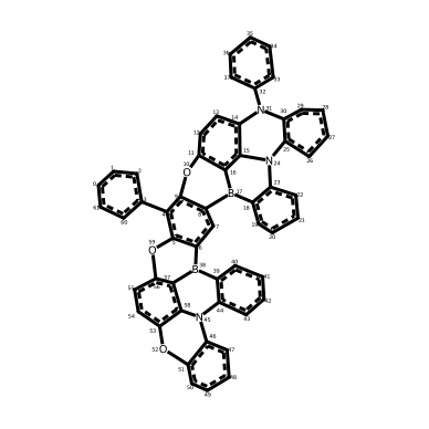 c1ccc(-c2c3c(cc4c2Oc2ccc5c6c2B4c2ccccc2N6c2ccccc2N5c2ccccc2)B2c4ccccc4N4c5ccccc5Oc5ccc(c2c54)O3)cc1